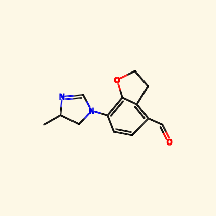 CC1CN(c2ccc(C=O)c3c2OCC3)C=N1